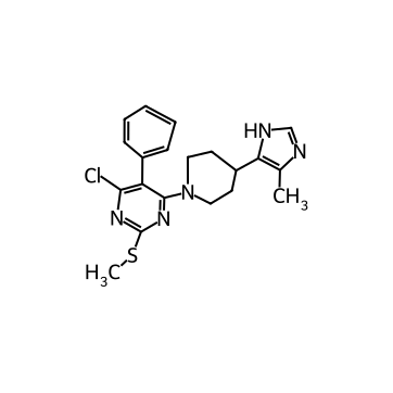 CSc1nc(Cl)c(-c2ccccc2)c(N2CCC(c3[nH]cnc3C)CC2)n1